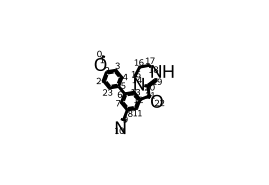 COc1ccc(-c2cc(C#N)cc3c2N2CCCNC=C2C3=O)cc1